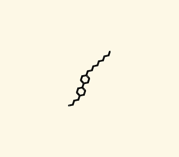 CCCCCCCCCC1CCC(C2CCC(CCCC)CC2)CC1